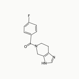 O=C(c1ccc(F)cc1)N1CCc2nc[nH]c2C1